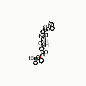 Cc1ccc2cccc(OCc3c(Cl)ccc(N(C)C(=O)CNC(=O)Nc4cccc(C(=O)N(C)CCO[Si](c5ccccc5)(c5ccccc5)C(C)(C)C)c4)c3Cl)c2n1